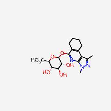 Cc1nn(C)c2nc(O[C@@H]3O[C@H](C(=O)O)[C@@H](O)[C@H](O)[C@H]3O)c3c(c12)CCCC3